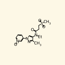 CCN(C(=O)CCS(C)(=O)=O)c1cn(-c2ccc[n+]([O-])c2)nc1C